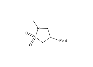 CCCC(C)C1CN(C)S(=O)(=O)C1